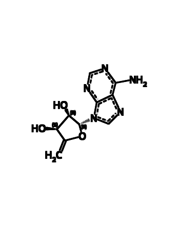 C=C1O[C@@H](n2cnc3c(N)ncnc32)[C@H](O)[C@@H]1O